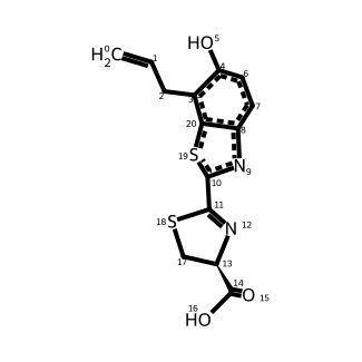 C=CCc1c(O)ccc2nc(C3=N[C@@H](C(=O)O)CS3)sc12